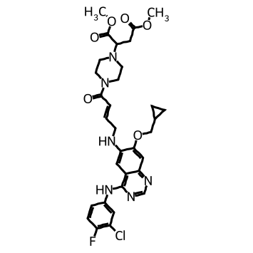 COC(=O)CC(C(=O)OC)N1CCN(C(=O)C=CCNc2cc3c(Nc4ccc(F)c(Cl)c4)ncnc3cc2OCC2CC2)CC1